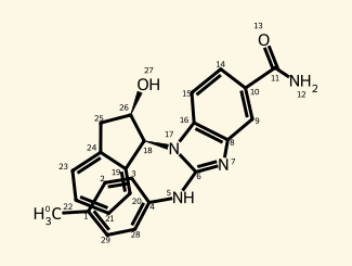 Cc1ccc(Nc2nc3cc(C(N)=O)ccc3n2[C@H]2c3ccccc3C[C@H]2O)cc1